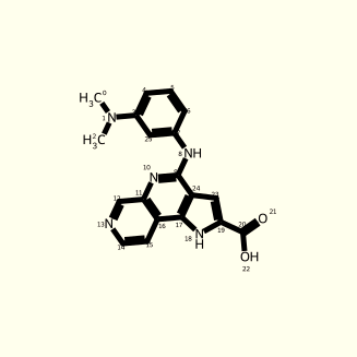 CN(C)c1cccc(Nc2nc3cnccc3c3[nH]c(C(=O)O)cc23)c1